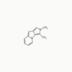 Cc1c2c(cc3ccccn32)cn1C